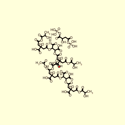 CC(=O)O.CC(O)C(=O)OC(=O)CC(O)(CC(=O)OC(C(=O)O)C(OC(=O)CC(O)(CC(=O)OC(=O)C(C)O)C(=O)O)C(=O)O)C(=O)O.CC(O)C(=O)OC(=O)CC(O)(CC(=O)OC(C(=O)O)C(OC(=O)CC(O)(CC(=O)OC(=O)C(C)O)C(=O)O)C(=O)O)C(=O)O.O=C(CC(O)C(=O)OP(=O)(O)O)OP(=O)(O)O